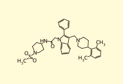 Cc1cccc(C)c1C1CCN(Cc2c(-c3ccccc3)n(CC(=O)NC3CCN(S(C)(=O)=O)CC3)c3ccccc23)CC1